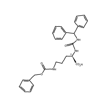 O=C(NC(c1ccccc1)c1ccccc1)N[C@H](CCCNC(=O)OCc1ccccc1)C(=O)O